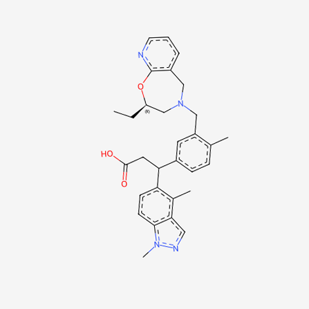 CC[C@@H]1CN(Cc2cc(C(CC(=O)O)c3ccc4c(cnn4C)c3C)ccc2C)Cc2cccnc2O1